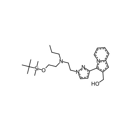 CCCN(CCO[Si](C)(C)C(C)(C)C)CCn1ccc(-c2c(CO)cc3ccccn23)n1